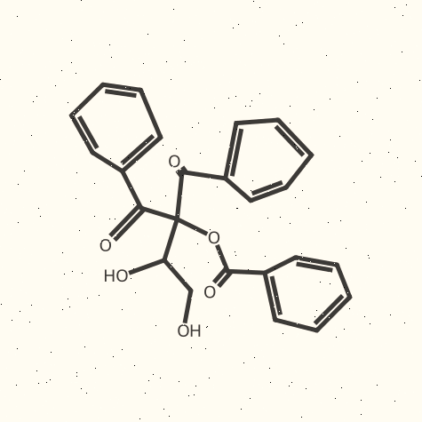 O=C(OC(C(=O)c1ccccc1)(C(=O)c1ccccc1)C(O)CO)c1ccccc1